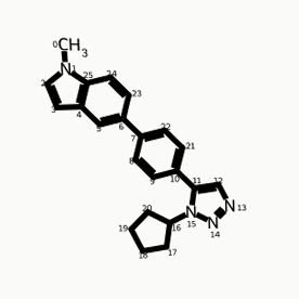 Cn1ccc2cc(-c3ccc(-c4cnnn4C4CCCC4)cc3)ccc21